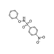 O=[N+]([O-])c1ccc(S(=O)(=O)NOc2ccccc2)cc1